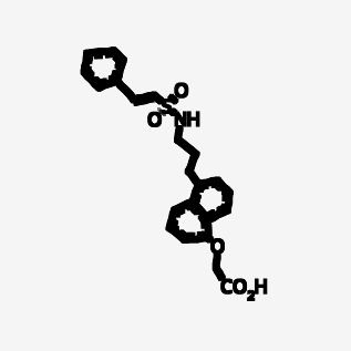 O=C(O)COc1cccc2c(CCCNS(=O)(=O)/C=C/c3ccccc3)cccc12